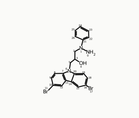 NN(CC(O)Cn1c2ccc(Br)cc2c2cc(Br)ccc21)c1ccccc1